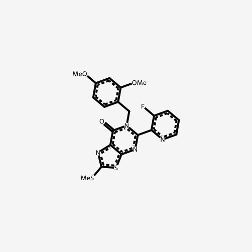 COc1ccc(Cn2c(-c3ncccc3F)nc3sc(SC)nc3c2=O)c(OC)c1